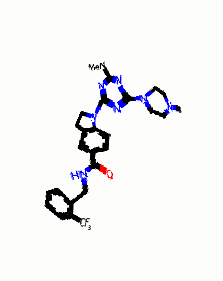 CNc1nc(N2CCN(C)CC2)nc(N2CCc3cc(C(=O)NCc4ccccc4C(F)(F)F)ccc32)n1